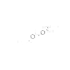 CCCCCNC(=N)c1ccc(C(=O)Nc2ccc3c(c2)CCC(CC(=O)O)O3)cc1